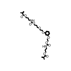 C=C(C)C(=O)OCCCNC(=O)OCCCOCCOc1cccc(OCCOC(=O)NCCCOC(=O)C(=C)C)c1